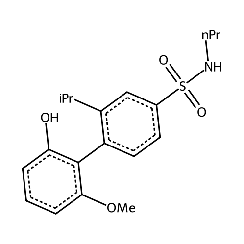 CCCNS(=O)(=O)c1ccc(-c2c(O)cccc2OC)c(C(C)C)c1